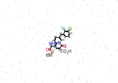 CC(C)(C)OC(=O)C(N)c1cc(C(=O)O)c(=O)n2cc(Cc3cccc(Cl)c3F)ccc12